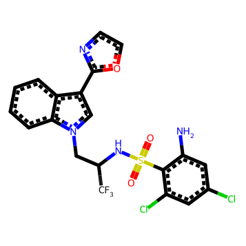 Nc1cc(Cl)cc(Cl)c1S(=O)(=O)NC(Cn1cc(-c2ncco2)c2ccccc21)C(F)(F)F